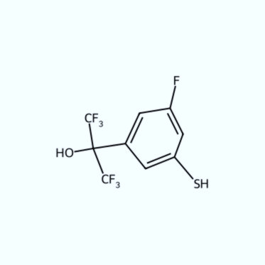 OC(c1cc(F)cc(S)c1)(C(F)(F)F)C(F)(F)F